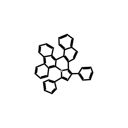 c1ccc(-c2cc(-c3ccccc3)n3c2c2ccc4ccccc4c2c2c4ccccc4c4ccccc4c23)cc1